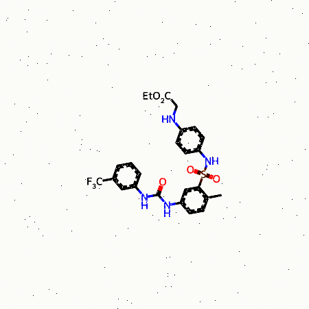 CCOC(=O)CNc1ccc(NS(=O)(=O)c2cc(NC(=O)Nc3cccc(C(F)(F)F)c3)ccc2C)cc1